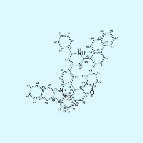 c1ccc(C2N=C(c3ccc(-n4c5ccccc5c5cc6ccccc6cc54)c(-c4c5ccccc5cc5oc6ccccc6c45)c3)N=C(c3cccc4c3ccc3ccccc34)N2)cc1